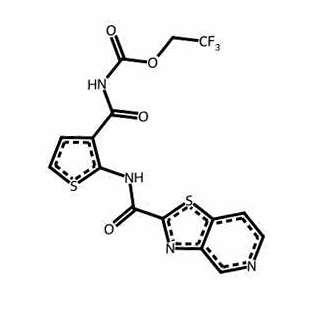 O=C(NC(=O)c1ccsc1NC(=O)c1nc2cnccc2s1)OCC(F)(F)F